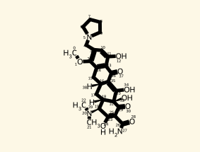 COc1c(CN2CCCC2)cc(O)c2c1C[C@H]1C[C@H]3[C@H](N(C)C)C(O)=C(C(N)=O)C(=O)[C@@]3(O)C(O)=C1C2=O